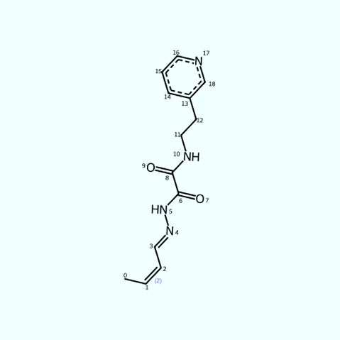 C/C=C\C=NNC(=O)C(=O)NCCc1cccnc1